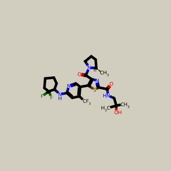 C[C@H]1CCCN1C(=O)c1nc(C(=O)NCC(C)(C)O)sc1-c1cnc(NC2CCCCC2(F)F)cc1C(F)(F)F